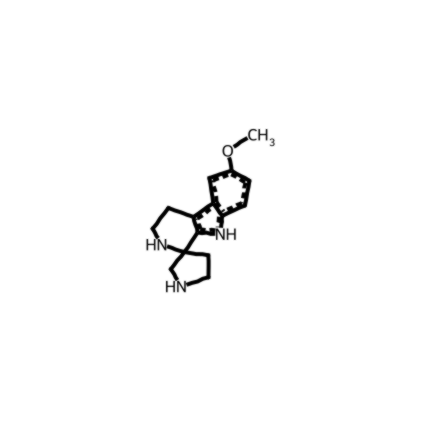 COc1ccc2[nH]c3c(c2c1)CCNC31CCNC1